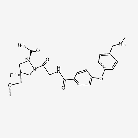 CNCc1ccc(Oc2ccc(C(=O)NCC(=O)N3C[C@@](F)(COC)C[C@H]3C(=O)O)cc2)cc1